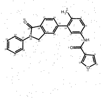 Cc1ccc(NC(=O)c2ccoc2)cc1-c1ccc2c(c1)CN(c1ccccc1)C2=O